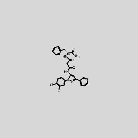 NC(=O)[C@@H](Cc1ccccc1)NC(=O)CC(=O)Nc1cc(-c2cccnc2)nn1-c1ccc(Cl)c(Cl)c1